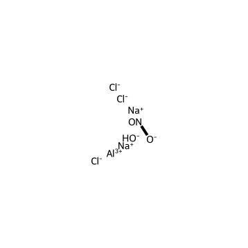 O=N[O-].[Al+3].[Cl-].[Cl-].[Cl-].[Na+].[Na+].[OH-]